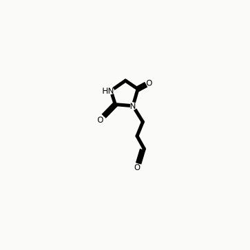 O=CCCN1C(=O)CNC1=O